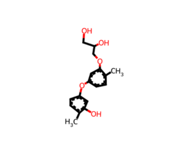 Cc1ccc(Oc2ccc(C)c(OCC(O)CO)c2)cc1O